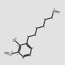 CCCCCCCCCCCCCCCCc1cccc(S(=O)(=O)O)c1Cl